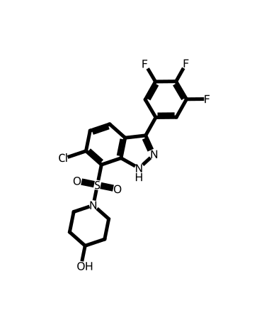 O=S(=O)(c1c(Cl)ccc2c(-c3cc(F)c(F)c(F)c3)n[nH]c12)N1CCC(O)CC1